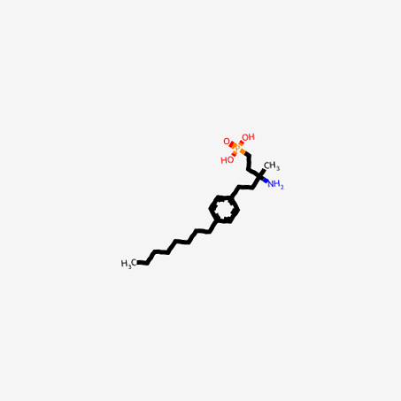 CCCCCCCCc1ccc(CCC(C)(N)CCP(=O)(O)O)cc1